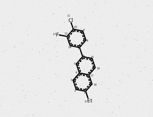 CCc1ccc2cc(-c3ccc(Cl)c(F)c3)ccc2c1